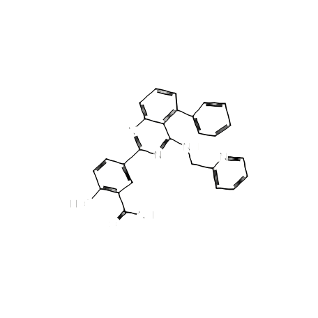 Cc1ccc(-c2nc(NCc3ccccn3)c3c(-c4ccccc4)cccc3n2)cc1C(N)=O